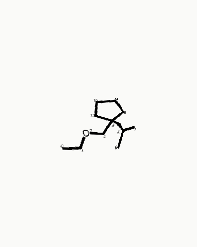 CCOCC1(C(C)C)CCCC1